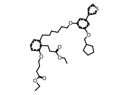 CCOC(=O)CCCOc1cccc(CCCCCCOc2cc(OCC3CCCC3)cc(-c3ccsc3)c2)c1CCC(=O)OCC